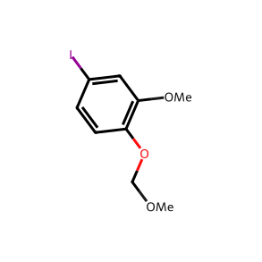 COCOc1ccc(I)cc1OC